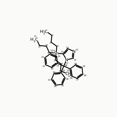 CCC[CH2][Sn]([CH2]CCC)([CH2]CCC)[c]1cncn1C(c1ccccc1)(c1ccccc1)c1ccccc1